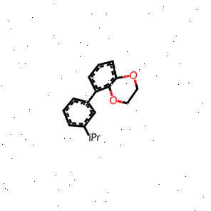 CC(C)c1cccc(-c2cccc3c2OCCO3)c1